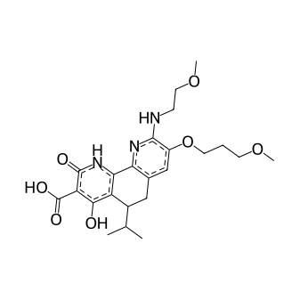 COCCCOc1cc2c(nc1NCCOC)-c1[nH]c(=O)c(C(=O)O)c(O)c1C(C(C)C)C2